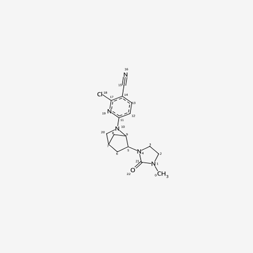 CN1CCN(C2CC3CC2N(c2ccc(C#N)c(Cl)n2)C3)C1=O